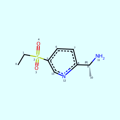 CCS(=O)(=O)c1ccc([C@@H](C)N)nc1